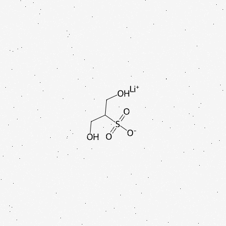 O=S(=O)([O-])C(CO)CO.[Li+]